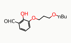 CCCCOCCCOc1cccc(C=O)c1O